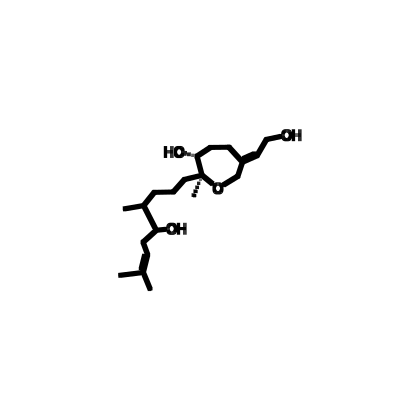 CC(C)=CCC(O)C(C)CCC[C@]1(C)OC/C(=C/CO)CC[C@H]1O